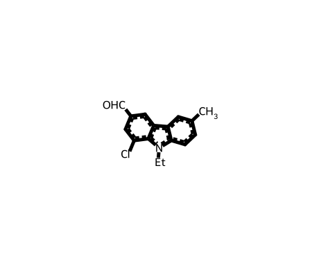 CCn1c2ccc(C)cc2c2cc(C=O)cc(Cl)c21